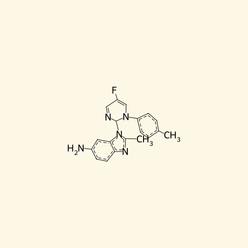 Cc1ccc(N2C=C(F)C=NC2n2c(C)nc3ccc(N)cc32)cc1